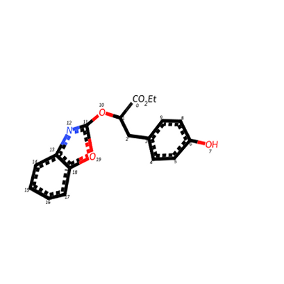 CCOC(=O)C(Cc1ccc(O)cc1)Oc1nc2ccccc2o1